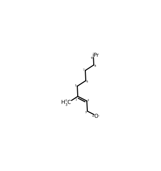 CC(=CC[O])CCCCC(C)C